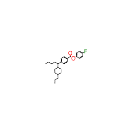 CCCCC(c1ccc(C(=O)Oc2ccc(F)cc2)cc1)C1CCC(CCC)CC1